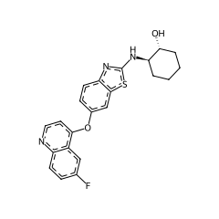 O[C@@H]1CCCC[C@H]1Nc1nc2ccc(Oc3ccnc4ccc(F)cc34)cc2s1